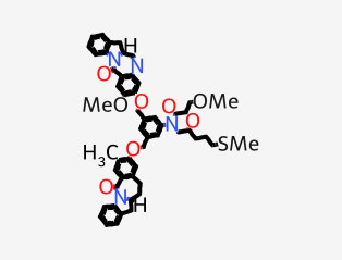 COCCC(=O)N(CC(=O)CCCSC)c1cc(COc2cc3c(cc2C)C(=O)N2c4ccccc4C[C@H]2CC3)cc(COc2cc3c(cc2OC)C(=O)N2c4ccccc4C[C@H]2C=N3)c1